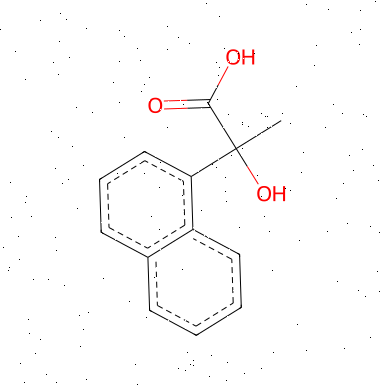 CC(O)(C(=O)O)c1cccc2ccccc12